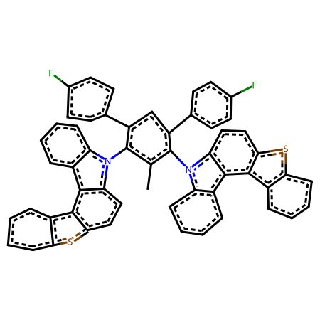 Cc1c(-n2c3ccccc3c3c4c(ccc32)sc2ccccc24)c(-c2ccc(F)cc2)cc(-c2ccc(F)cc2)c1-n1c2ccccc2c2c3c(ccc21)sc1ccccc13